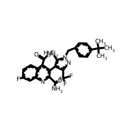 Cc1c(-c2c(C(N)=O)nc3cc(F)ccc3c2C(N)=O)c(C(F)(F)F)nn1Cc1ccc(C(C)(C)C)cc1